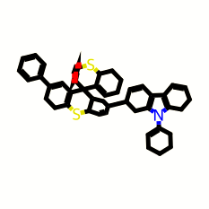 C1=CC2SC3CCCC=C3C3(C4=C(CCC(c5ccccc5)=C4)SC4C=CC(C5C=Cc6c7c(n(C8=CCCCC8)c6C5)CCC=C7)CC43)C2C=C1